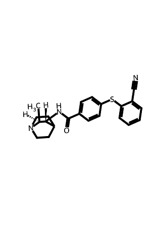 C[C@H]1[C@H](NC(=O)c2ccc(Sc3ccccc3C#N)cc2)C2CCN1CC2